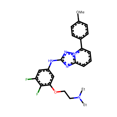 CCN(CC)CCOc1cc(Nc2nc3cccc(-c4ccc(OC)cc4)n3n2)cc(F)c1F